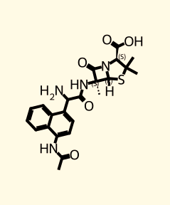 CC(=O)Nc1ccc(C(N)C(=O)N[C@@]2(C)C(=O)N3[C@@H](C(=O)O)C(C)(C)S[C@@H]32)c2ccccc12